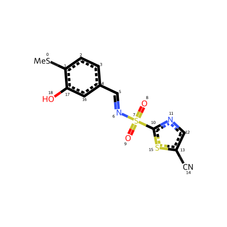 CSc1ccc(C=NS(=O)(=O)c2ncc(C#N)s2)cc1O